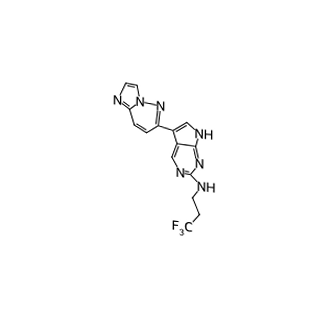 FC(F)(F)CCNc1ncc2c(-c3ccc4nccn4n3)c[nH]c2n1